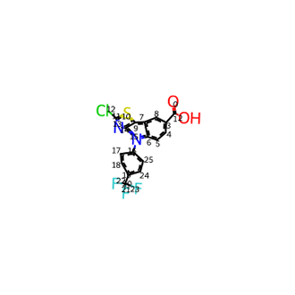 O=C(O)c1ccc2c(c1)c1sc(Cl)nc1n2-c1ccc(C(F)(F)F)cc1